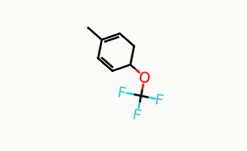 CC1=CCC(OC(F)(F)F)C=C1